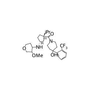 COC1COCCC1N[C@@H]1CC[C@@](C(=O)N2CCC(O)(c3ccccc3C(F)(F)F)CC2)(C(C)C)C1